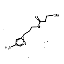 CC(C)(C)CCC(=O)NCCCn1cc(N)cn1